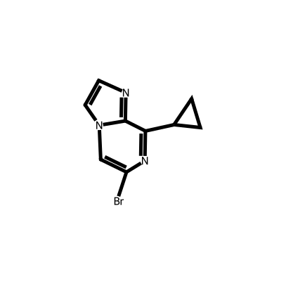 Brc1cn2ccnc2c(C2CC2)n1